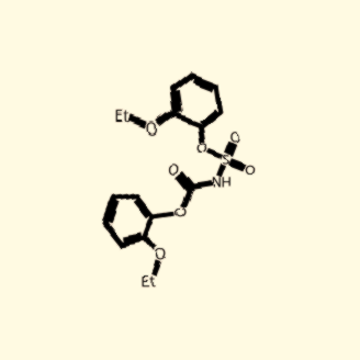 CCOc1ccccc1OC(=O)NS(=O)(=O)Oc1ccccc1OCC